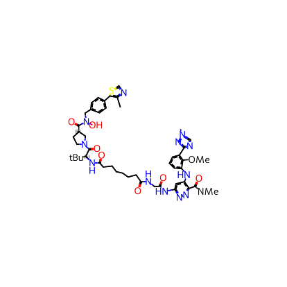 CNC(=O)c1nnc(NC(=O)CNC(=O)CCCCCCC(=O)N[C@H](C(=O)N2CC[C@@H](C(=O)N(O)Cc3ccc(-c4scnc4C)cc3)C2)C(C)(C)C)cc1Nc1cccc(-c2ncn(C)n2)c1OC